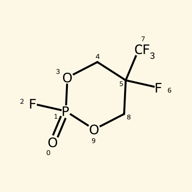 O=P1(F)OCC(F)(C(F)(F)F)CO1